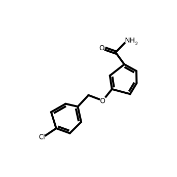 NC(=O)c1cccc(OCc2ccc(Cl)cc2)c1